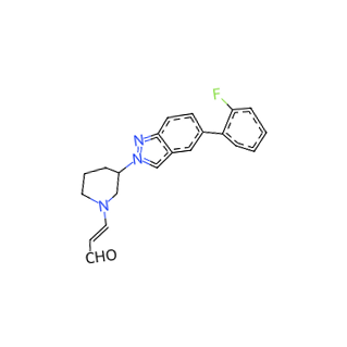 O=CC=CN1CCCC(n2cc3cc(-c4ccccc4F)ccc3n2)C1